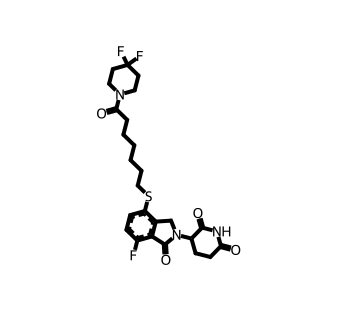 O=C1CCC(N2Cc3c(SCCCCCCC(=O)N4CCC(F)(F)CC4)ccc(F)c3C2=O)C(=O)N1